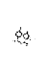 O=C([O-])c1ccc(I)cc1.O=C([O-])c1ccc(I)cc1.[Cu+2]